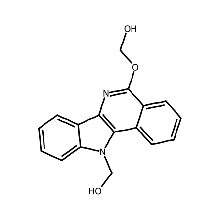 OCOc1nc2c3ccccc3n(CO)c2c2ccccc12